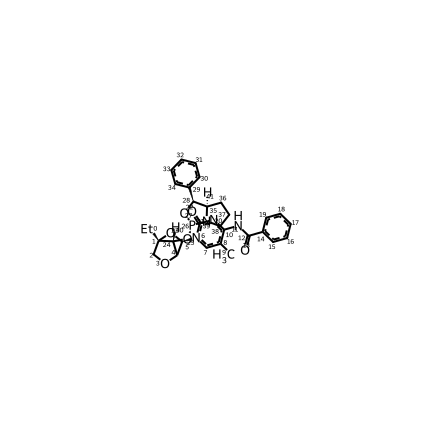 CC[C@@]12COC([C@H](n3cc(C)c(NC(=O)c4ccccc4)nc3=O)O1)[C@H]2O[P@]1O[C@@H](c2ccccc2)[C@H]2CCCN21